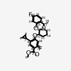 COC(=O)c1cc(C2CC2)c(OC2CCCN([C@H](C)c3ccc(F)cc3Cl)C2)cc1F